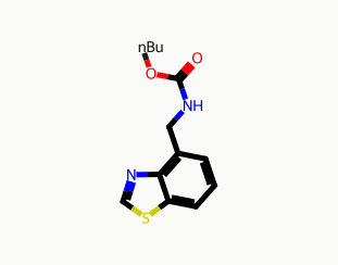 CCCCOC(=O)NCc1cccc2scnc12